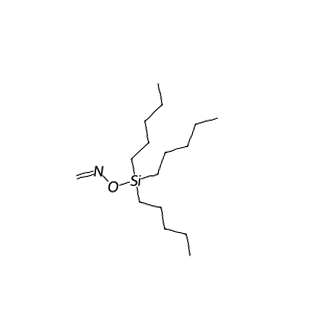 C=NO[Si](CCCCC)(CCCCC)CCCCC